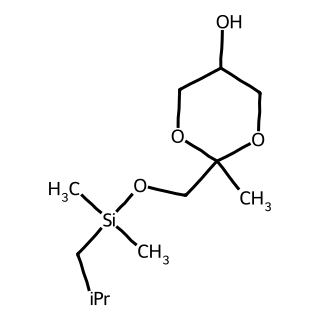 CC(C)C[Si](C)(C)OCC1(C)OCC(O)CO1